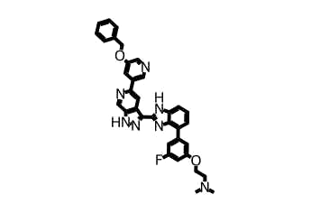 CN(C)CCOc1cc(F)cc(-c2cccc3[nH]c(-c4n[nH]c5cnc(-c6cncc(OCc7ccccc7)c6)cc45)nc23)c1